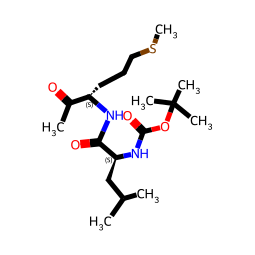 CSCCC[C@H](NC(=O)[C@H](CC(C)C)NC(=O)OC(C)(C)C)C(C)=O